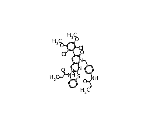 C=CC(=O)Nc1ccc(Cn2c(=O)c(-c3c(Cl)c(OC)cc(OC)c3Cl)cc3cnc(Sc4ccccc4NC(=O)C=C)nc32)cc1